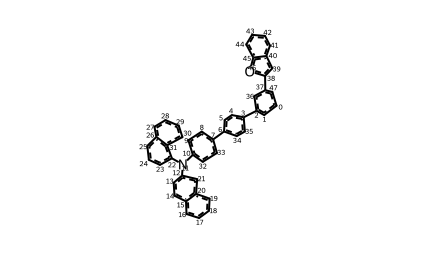 c1cc(-c2ccc(-c3ccc(N(c4ccc5ccccc5c4)c4cccc5ccccc45)cc3)cc2)cc(-c2cc3ccccc3o2)c1